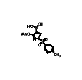 COc1nn(S(=O)(=O)c2ccc(C)cc2)cc1B(O)O